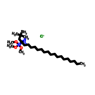 CCCCCCCCCCCCCCCCCCC(N)(CC(C)(C)[SiH3])[N+](OC)(OC)OC.[Cl-]